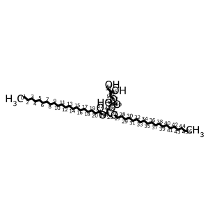 CCCCCCCCCCCCCCCCCCCCCC(=O)O[C@H](COCCCCCCCCCCCCCCCCCCCC)COP(=O)(O)OC[C@@H](O)CO